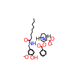 CCCCCCCCC(=O)NCc1ccc(O)c(OC)c1.COC(=O)[C@@H]1[C@@H](OC(=O)c2ccccc2)C[C@@H]2CC[C@H]1N2C